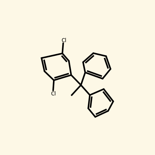 CC(c1ccccc1)(c1ccccc1)c1cc(Cl)ccc1Cl